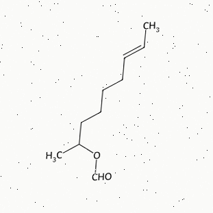 C/C=C/CCCCC(C)OC=O